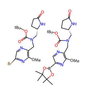 COc1nc(B2OC(C)(C)C(C)(C)O2)cnc1CN(C[C@@H]1CCC(=O)N1)C(=O)OC(C)(C)C.COc1nc(Br)cnc1CN(C[C@@H]1CCC(=O)N1)C(=O)OC(C)(C)C